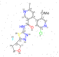 COc1cnc(Cl)cc1-c1cc(C)ncc1C(=O)Nc1nnc([C@]2(F)CCOC2)s1